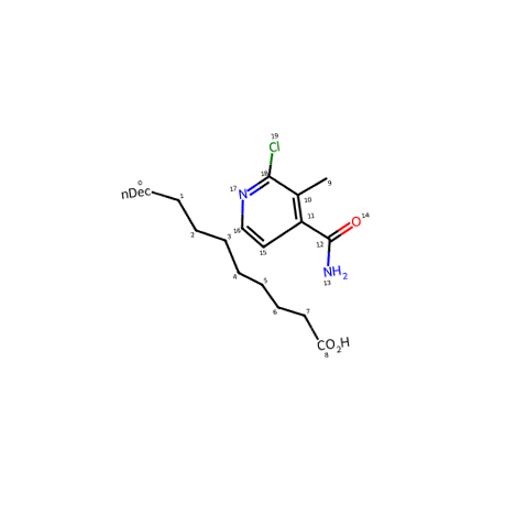 CCCCCCCCCCCCCCCCCC(=O)O.Cc1c(C(N)=O)ccnc1Cl